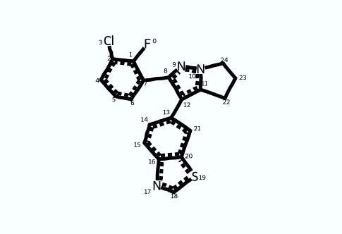 Fc1c(Cl)cccc1-c1nn2c(c1-c1ccc3ncsc3c1)CCC2